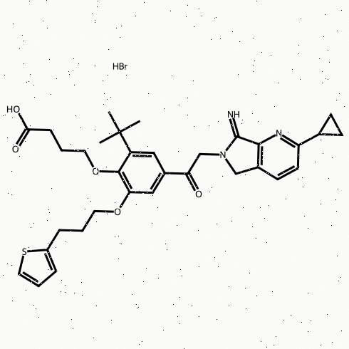 Br.CC(C)(C)c1cc(C(=O)CN2Cc3ccc(C4CC4)nc3C2=N)cc(OCCCc2cccs2)c1OCCCC(=O)O